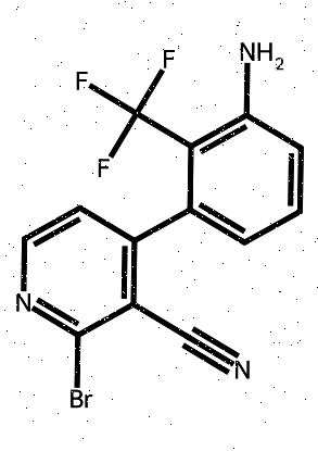 N#Cc1c(-c2cccc(N)c2C(F)(F)F)ccnc1Br